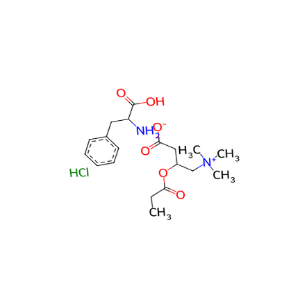 CCC(=O)OC(CC(=O)[O-])C[N+](C)(C)C.Cl.NC(Cc1ccccc1)C(=O)O